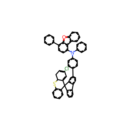 ClC1=CCC2Sc3ccccc3C3(C2=C1)c1ccccc1-c1ccc(-c2ccc(N(c4ccccc4)c4ccc(-c5ccccc5)c5oc6ccccc6c45)cc2)cc13